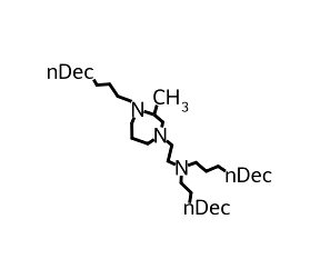 CCCCCCCCCCCCCCN1CCCN(CCN(CCCCCCCCCCCC)CCCCCCCCCCCCC)CC1C